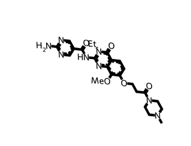 CCn1c(NC(=O)c2cnc(N)nc2)nc2c(OC)c(OCCC(=O)N3CCN(C)CC3)ccc2c1=O